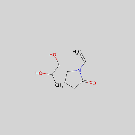 C=CN1CCCC1=O.CC(O)CO